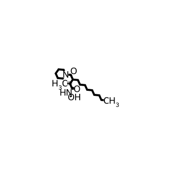 CCCCCCCCCC(C(=O)N1CCCCC1)[C@H](C)C(=O)NO